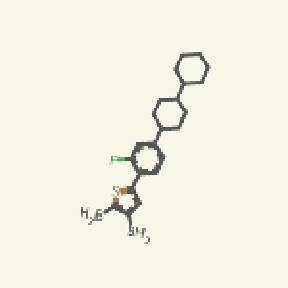 Bc1cc(-c2ccc(C3CCC(C4CCCCC4)CC3)cc2F)sc1B